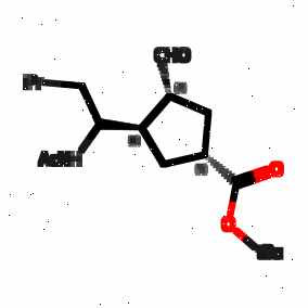 CC(=O)NC(CC(C)C)[C@@H]1C[C@@H](C(=O)OC(C)(C)C)C[C@H]1C=O